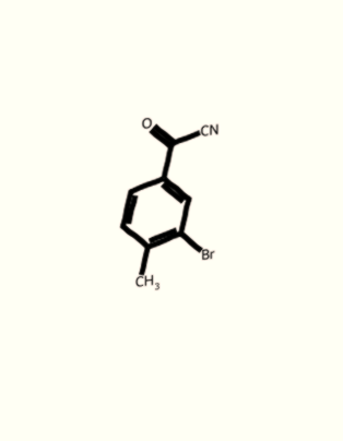 Cc1ccc(C(=O)C#N)cc1Br